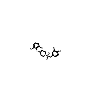 O=S(=O)(Cc1ccc(Cl)c(Cl)c1)N1CCC(Oc2c(Cl)cccc2Cl)CC1